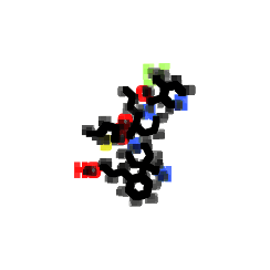 CCC[C@H]1N(C(=O)c2cnccc2C(F)(F)F)CCC[C@@]1(Oc1csc(C)c1)C(=O)N1CCC(C#N)(c2ccccc2CCCO)CC1